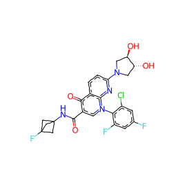 O=C(NC12CC(F)(C1)C2)c1cn(-c2c(F)cc(F)cc2Cl)c2nc(N3C[C@@H](O)[C@H](O)C3)ccc2c1=O